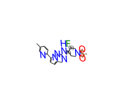 Cc1ccc(-c2ccc3cnc(N[C@@H]4CCN(S(C)(=O)=O)C[C@@H]4F)nn23)nc1